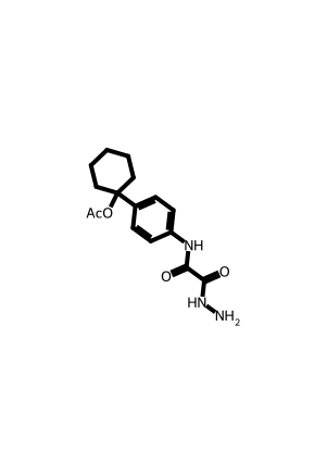 CC(=O)OC1(c2ccc(NC(=O)C(=O)NN)cc2)CCCCC1